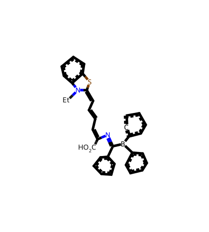 CCN1C(=CC=CC=C(N=C(B(c2ccccc2)c2ccccc2)c2ccccc2)C(=O)O)Sc2ccccc21